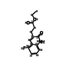 CCOC(=O)CCc1cc2c(F)cccc2[nH]c1=O